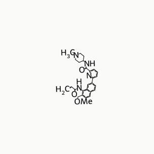 C=CC(=O)Nc1c(COC)ccc2ccc(-c3cccc(C(=O)NC4CCN(C)CC4)n3)cc12